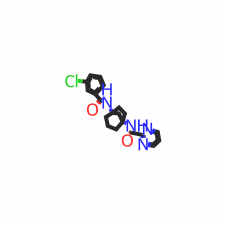 O=C(NC12CCCC(NC(=O)c3ncccn3)(CC1)C2)c1cccc(Cl)c1